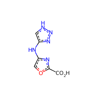 O=C(O)c1nc(Nc2c[nH]nn2)co1